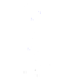 C[Si]1(C)c2ccccc2-c2c1ccc1nc(-c3ccc(-c4ccc5ccc6ccc(-c7ccccc7)nc6c5n4)cc3)ccc21